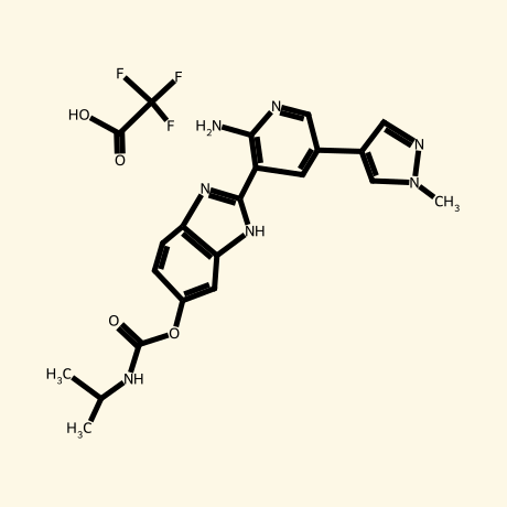 CC(C)NC(=O)Oc1ccc2nc(-c3cc(-c4cnn(C)c4)cnc3N)[nH]c2c1.O=C(O)C(F)(F)F